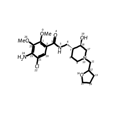 COc1c(C(=O)NC[C@H]2CCN(CC3CCCO3)C[C@@H]2O)cc(Cl)c(N)c1OC